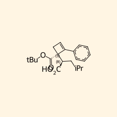 CC(C)C[C@@H](C(=O)O)[C@@]1(C(=O)OC(C)(C)C)CC=C1c1ccccc1